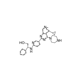 OC[C@@H](Nc1ccc(-c2nc(N3CCNCC3)c3c(C4CC4)cncc3n2)cn1)c1ccccc1